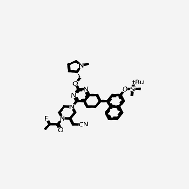 CC(F)C(=O)N1CCN(c2nc(OC[C@@H]3CCCN3C)nc3c2CCC(c2cc(O[Si](C)(C)C(C)(C)C)cc4ccccc24)C3)CC1CC#N